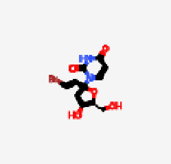 O=c1ccn(C2(C=CBr)C[C@H](O)[C@@H](CO)O2)c(=O)[nH]1